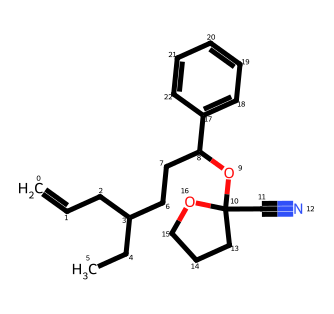 C=CCC(CC)CCC(OC1(C#N)CCCO1)c1ccccc1